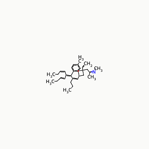 C=CC1(C/C(C)=N\C)CC(\C=C(CCC)/C(=C(/C=C\CC)\C=C\CC)c2ccc(C)cc2)C1